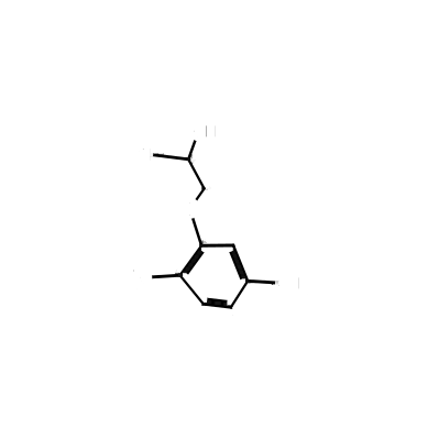 Cc1ccc(C)c(OCC(C)Cl)c1